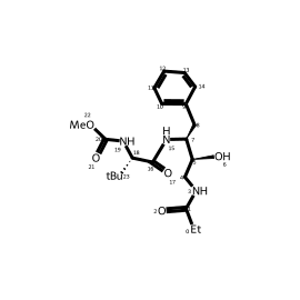 CCC(=O)NC[C@H](O)[C@H](Cc1ccccc1)NC(=O)[C@@H](NC(=O)OC)C(C)(C)C